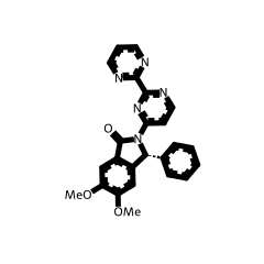 COc1cc2c(cc1OC)[C@@H](c1ccccc1)N(c1ccnc(-c3ncccn3)n1)C2=O